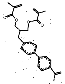 C=C(C)C(=O)OCC(COC(=O)C(=C)C)Cc1ccc(-c2ccc(C(=C)C)cc2)cc1